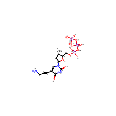 CC(C)CO[C@@H]1C[C@H](n2cc(C#CCN)c(=O)[nH]c2=O)OC1COP(=O)(O)OP(=O)(O)OP(=O)(O)O